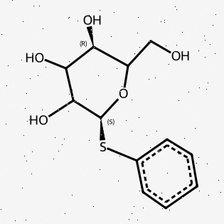 OCC1O[C@@H](Sc2ccccc2)C(O)C(O)[C@H]1O